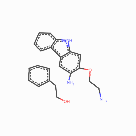 NCCOc1cc2[nH]c3ccccc3c2cc1N.OCCc1ccccc1